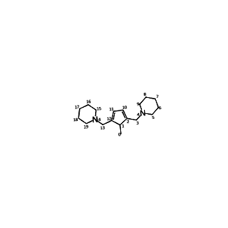 CC1C(CN2CCCCC2)=CC=C1CN1CCCCC1